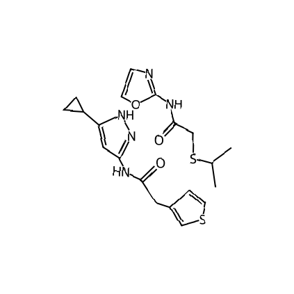 CC(C)SCC(=O)Nc1ncco1.O=C(Cc1ccsc1)Nc1cc(C2CC2)[nH]n1